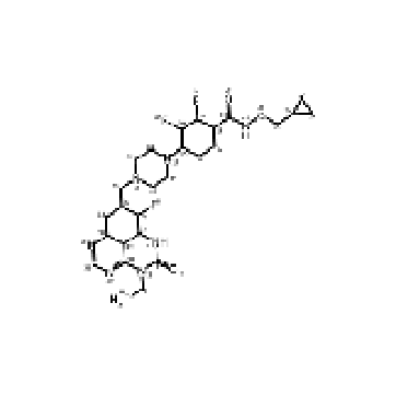 CCN1C(=O)NC2C(F)C(CN3CCN(C4CCC(C(=O)NOCC5CC5)C(F)C4F)CC3)CC3N=CN=C1C32